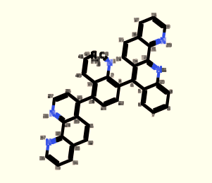 C=Nc1c(-c2c3ccccc3nc3c2ccc2cccnc23)ccc(-c2ccnc3c2ccc2cccnc23)c1/C=C\C